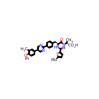 Cc1cc(-c2cnc(-c3ccc(C[C@H](NC(=O)c4ccc(C(C)(C)C)s4)C(=O)N[C@H](C)C(=O)O)cc3)nc2)ccc1OC(C)C